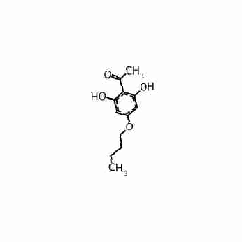 CCCCOc1cc(O)c(C(C)=O)c(O)c1